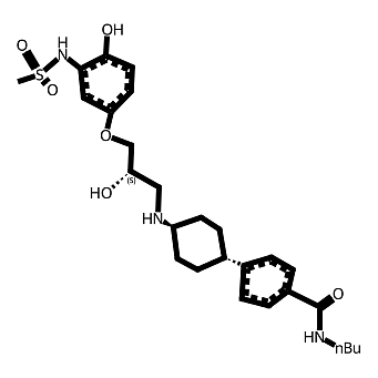 CCCCNC(=O)c1ccc([C@H]2CC[C@H](NC[C@H](O)COc3ccc(O)c(NS(C)(=O)=O)c3)CC2)cc1